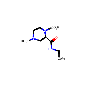 COCNC(=O)[C@H]1CN(C(=O)O)CCN1C(=O)O